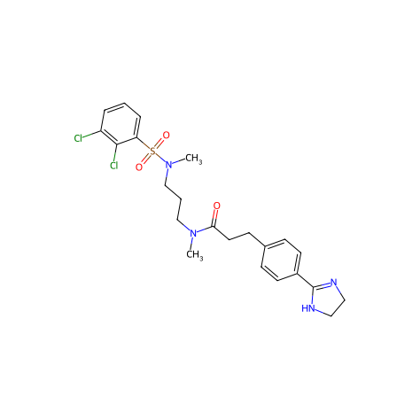 CN(CCCN(C)S(=O)(=O)c1cccc(Cl)c1Cl)C(=O)CCc1ccc(C2=NCCN2)cc1